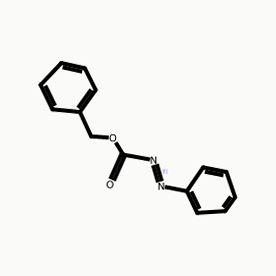 O=C(/N=N/c1ccccc1)OCc1ccccc1